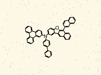 c1ccc(-c2ccc(N(c3ccc4oc5c(-c6ccc7ccccc7c6)c6ccccc6cc5c4c3)c3ccc4c5ccccc5c5ccccc5c4c3)cc2)cc1